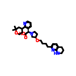 CC1(C)CC(c2ncccc2[C@H](C(=O)O)N2CC[C@@H](OCCCCc3ccc4c(n3)NCCC4)C2)CCO1